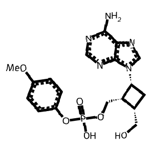 COc1ccc(OP(=O)(O)OC[C@H]2[C@@H](CO)C[C@H]2n2cnc3c(N)ncnc32)cc1